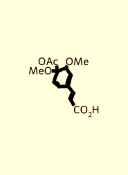 COC1C=C(C=CC(=O)O)C=CC1(OC)OC(C)=O